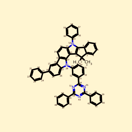 CC1(C)c2ccccc2-c2c1c1c(ccc3c4cc(-c5ccccc5)ccc4n(-c4cccc(-c5nc(-c6ccccc6)nc(-c6ccccc6)n5)c4)c31)n2-c1ccccc1